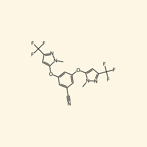 Cn1nc(C(F)(F)F)cc1Oc1cc(C#N)cc(Oc2cc(C(F)(F)F)nn2C)c1